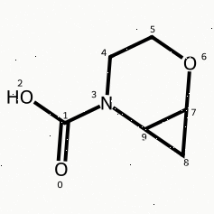 O=C(O)N1CCOC2CC21